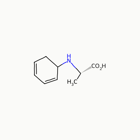 C[C@H](NC1C=CC=CC1)C(=O)O